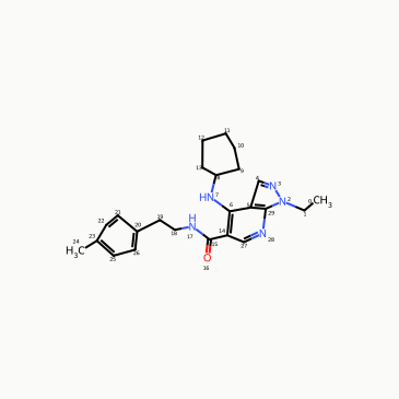 CCn1ncc2c(NC3CCCCC3)c(C(=O)NCCc3ccc(C)cc3)cnc21